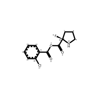 O=C(OC(=O)[C@]1(F)CCCN1)c1ccccc1Cl